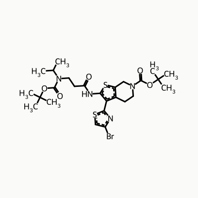 CC(C)N(CCC(=O)Nc1sc2c(c1-c1nc(Br)cs1)CCN(C(=O)OC(C)(C)C)C2)C(=O)OC(C)(C)C